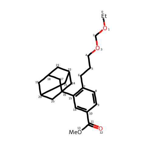 CCOCOCCCc1ccc(C(=O)OC)cc1C12CC3CC(CC(C3)C1)C2